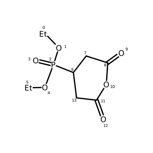 CCOP(=O)(OCC)C1CC(=O)OC(=O)C1